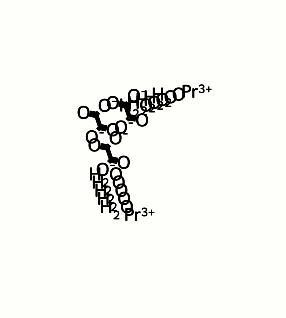 O.O.O.O.O.O.O.O.O.O.O=C([O-])C(=O)[O-].O=C([O-])C(=O)[O-].O=C([O-])C(=O)[O-].[Pr+3].[Pr+3]